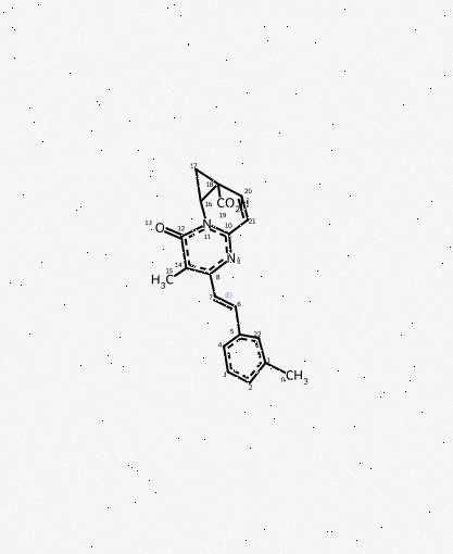 Cc1cccc(/C=C/c2nc3n(c(=O)c2C)C2CC2(C(=O)O)C=C3)c1